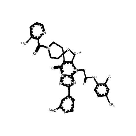 COc1cc(-c2nc3n(CC(=O)Nc4ccc(C(F)(F)F)cc4Cl)c4c(c(=O)n3n2)C2(CCN(C(=O)c3ncccc3O)CC2)O[C@@H]4C)ccn1